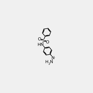 N[N]c1ccc(NS(=O)(=O)c2ccccc2)cc1